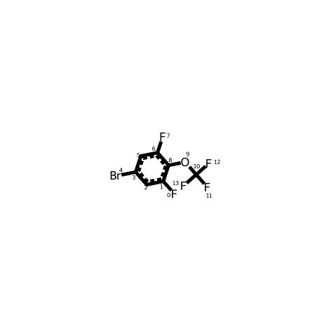 Fc1cc(Br)cc(F)c1OC(F)(F)F